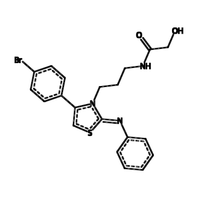 O=C(CO)NCCCn1c(-c2ccc(Br)cc2)csc1=Nc1ccccc1